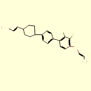 C/C=C/Oc1ccc(-c2ccc(C3CCC(/C=C/C)CC3)cc2)c(F)c1F